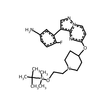 CC(C)(C)[Si](C)(C)OCCN1CCC(Oc2ccn3ncc(-c4cc(N)ccc4F)c3n2)CC1